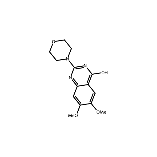 COc1cc2nc(N3CCOCC3)nc(O)c2cc1OC